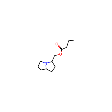 CCCC(=O)OCC1CCC2CCCN21